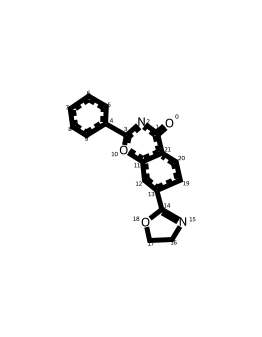 O=c1nc(-c2ccccc2)oc2cc(C3=NCCO3)ccc12